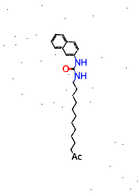 CC(=O)CCCCCCCCCCCNC(=O)Nc1ccc2ccccc2c1